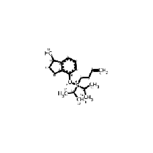 C=CCC[Si](Oc1cccc2c1CCC2O)(C(C)C)C(C)C